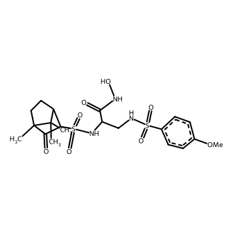 COc1ccc(S(=O)(=O)NCC(NS(=O)(=O)C2C(=O)C3(C)CCC2C3(C)C)C(=O)NO)cc1